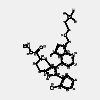 Cc1cn(COCC[Si](C)(C)C)c2nccc(-c3c(-c4ccccc4Cl)nn4c3CN(C(=O)OC(C)(C)C)CC4)c12